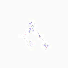 Nc1cc(C(F)(F)F)c(-c2nc(N3CCOCC3)nc(N3CCN(CCNC(=O)CCCC[C@@H]4SC[C@@H]5NC(=O)N[C@@H]54)CC3)n2)cn1.O=C(O)CCCC[C@@H]1SC[C@@H]2NC(=O)N[C@@H]21